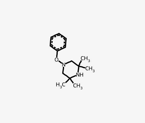 CC1(C)CN(Oc2ccccc2)CC(C)(C)N1